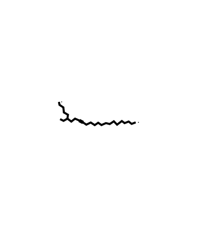 [CH2]CCCCCCCCCCCCCC#CCCC(CC)CCCC[CH2]